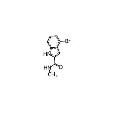 CNC(=O)c1cc2c(Br)cccc2[nH]1